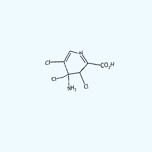 NC1(Cl)C(Cl)=CN=C(C(=O)O)C1Cl